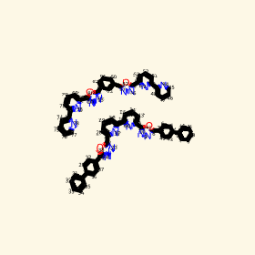 c1ccc(-c2ccc(-c3nnc(-c4cccc(-c5cccc(-c6nnc(-c7ccc(-c8ccccc8)cc7)o6)n5)n4)o3)cc2)cc1.c1ccc(-c2cccc(-c3nnc(-c4cccc(-c5nnc(-c6cccc(-c7ccccn7)n6)o5)c4)o3)n2)nc1